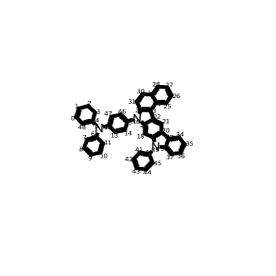 C1=CCCC(N(c2ccccc2)c2ccc(-n3c4cc5c(cc4c4c6ccccc6ccc43)c3ccccc3n5-c3ccccc3)cc2)=C1